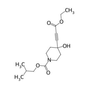 CCOC(=O)C#CC1(O)CCN(C(=O)OCC(C)C)CC1